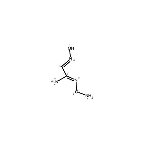 NON=C(N)C=NO